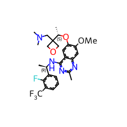 COc1cc2nc(C)nc(N[C@H](C)c3cccc(C(F)(F)F)c3F)c2cc1O[C@@H](C)C1(CN(C)C)COC1